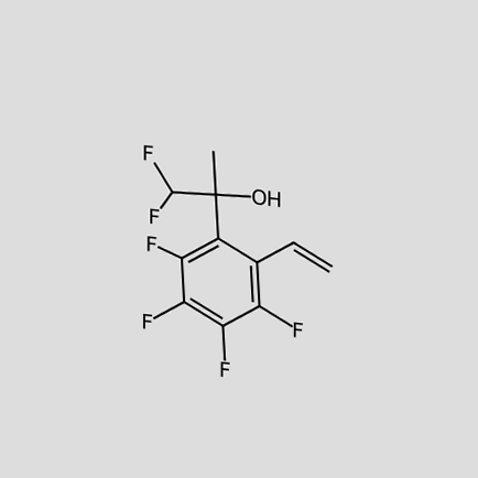 C=Cc1c(F)c(F)c(F)c(F)c1C(C)(O)C(F)F